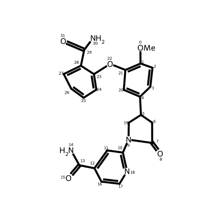 COc1ccc(C2CC(=O)N(c3cc(C(N)=O)ccn3)C2)cc1Oc1ccccc1C(N)=O